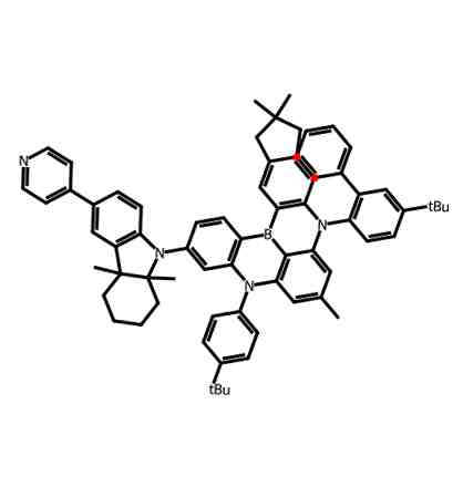 Cc1cc2c3c(c1)N(c1ccc(C(C)(C)C)cc1-c1ccccc1)c1cc4c(cc1B3c1ccc(N3c5ccc(-c6ccncc6)cc5C5(C)CCCCC35C)cc1N2c1ccc(C(C)(C)C)cc1)CC(C)(C)C4